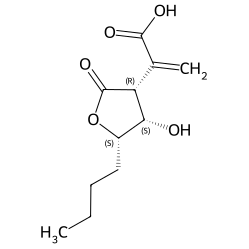 C=C(C(=O)O)[C@H]1C(=O)O[C@@H](CCCC)[C@H]1O